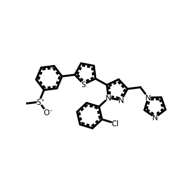 C[S+]([O-])c1cccc(-c2ccc(-c3cc(Cn4ccnc4)nn3-c3ccccc3Cl)s2)c1